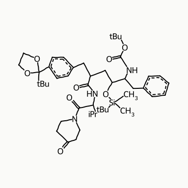 CC(C)C(NC(=O)C(Cc1ccc(C2(C(C)(C)C)OCCO2)cc1)CC(O[Si](C)(C)C(C)(C)C)C(Cc1ccccc1)NC(=O)OC(C)(C)C)C(=O)N1CCC(=O)CC1